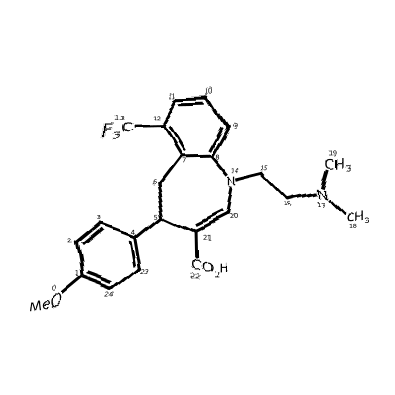 COc1ccc(C2Cc3c(cccc3C(F)(F)F)N(CCN(C)C)C=C2C(=O)O)cc1